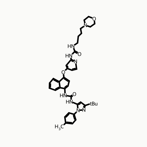 Cc1ccc(-n2nc(C(C)(C)C)cc2NC(=O)Nc2ccc(Oc3ccnc(NC(=O)NCCCCN4CCOCC4)c3)c3ccccc23)cc1